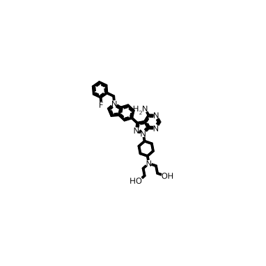 Nc1ncnc2c1c(-c1ccc3c(ccn3Cc3ccccc3F)c1)nn2C1CCC(N(CCO)CCO)CC1